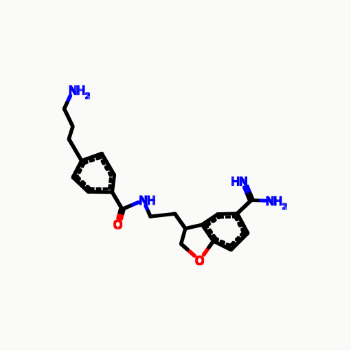 N=C(N)c1ccc2c(c1)C(CCNC(=O)c1ccc(CCCN)cc1)CO2